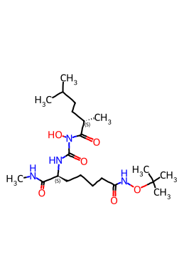 CNC(=O)[C@H](CCCCC(=O)NOC(C)(C)C)NC(=O)N(O)C(=O)[C@@H](C)CCC(C)C